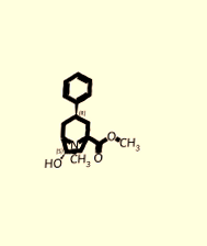 COC(=O)C12C[C@H](c3ccccc3)CC([C@@H](O)C1)N2C